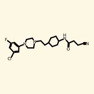 N#CCCC(=O)NC1CCC(CCN2CCN(c3cc(F)cc(Cl)c3)CC2)CC1